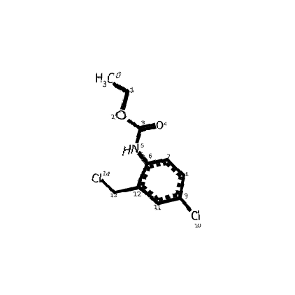 CCOC(=O)Nc1ccc(Cl)cc1CCl